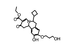 CCOC(=O)C1=CN2C(CC1=O)c1cc(O)c(OCCCO)cc1CC2C1CCC1